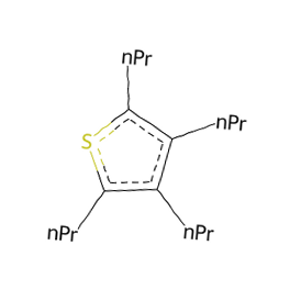 CCCc1sc(CCC)c(CCC)c1CCC